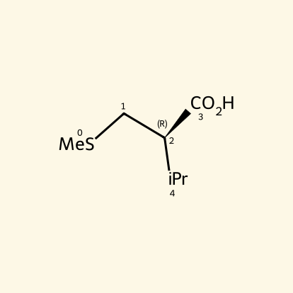 CSC[C@@H](C(=O)O)C(C)C